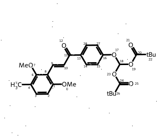 COc1ccc(C)c(OC)c1C=CC(=O)c1ccc(OC(OC(=O)C(C)(C)C)OC(=O)C(C)(C)C)cc1